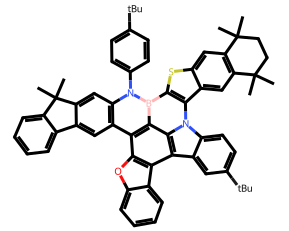 CC(C)(C)c1ccc(N2B3c4sc5cc6c(cc5c4-n4c5ccc(C(C)(C)C)cc5c5c7c(oc8ccccc87)c(c3c54)-c3cc4c(cc32)C(C)(C)c2ccccc2-4)C(C)(C)CCC6(C)C)cc1